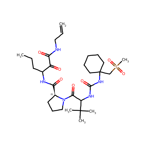 C=CCNC(=O)C(=O)C(CCC)NC(=O)[C@@H]1CCCN1C(=O)C(NC(=O)NC1(CS(C)(=O)=O)CCCCC1)C(C)(C)C